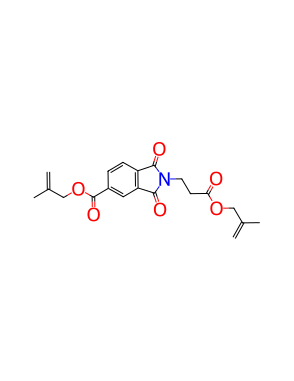 C=C(C)COC(=O)CCN1C(=O)c2ccc(C(=O)OCC(=C)C)cc2C1=O